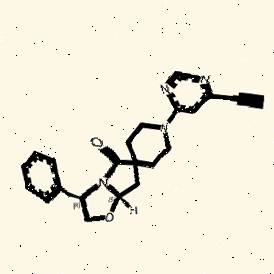 C#Cc1cc(N2CCC3(CC2)C[C@@H]2OC[C@@H](c4ccccc4)N2C3=O)ncn1